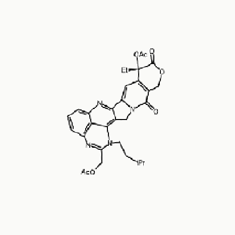 CC[C@@]1(OC(C)=O)C(=O)OCc2c1cc1n(c2=O)Cc2c-1nc1cccc3c1c2N(CCC(C)C)C(COC(C)=O)=N3